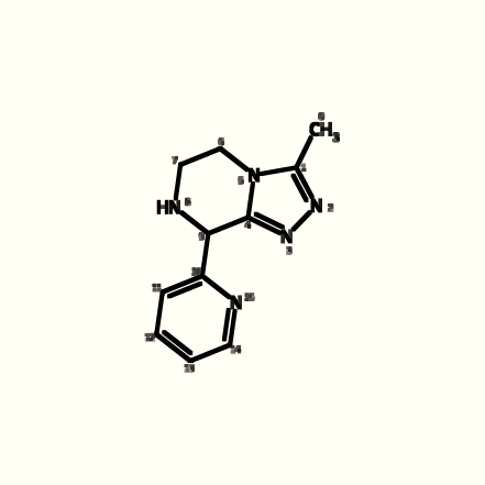 Cc1nnc2n1CCNC2c1ccccn1